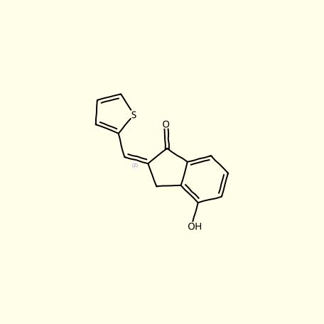 O=C1/C(=C\c2cccs2)Cc2c(O)cccc21